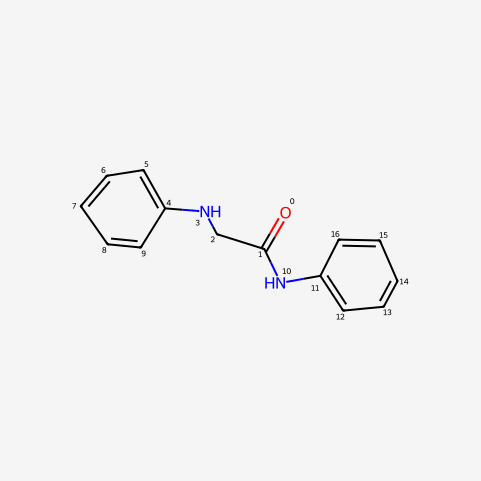 O=C(CNc1ccccc1)Nc1ccccc1